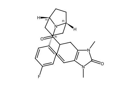 Cn1c2c(n(C)c1=O)CC(C(=O)N1[C@@H]3CC[C@H]1C[C@@H](c1ccc(F)cc1)C3)C=C2